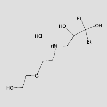 CCC(O)(CC)C(O)CNCCOCCO.Cl